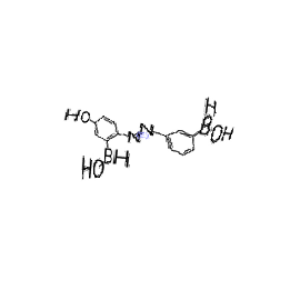 OBc1cccc(/N=N/c2ccc(O)cc2BO)c1